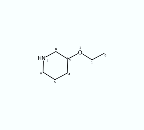 CCO[C]1CCCNC1